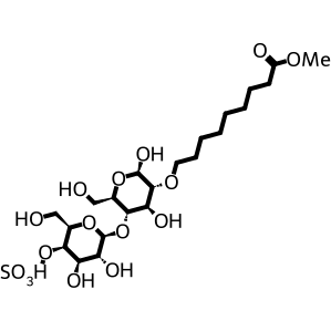 COC(=O)CCCCCCCCO[C@@H]1[C@@H](O)[C@H](O[C@@H]2O[C@H](CO)[C@H](OS(=O)(=O)O)[C@H](O)[C@H]2O)[C@@H](CO)O[C@H]1O